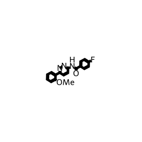 COc1ccccc1-c1ccc(NC(=O)c2ccc(F)cc2)nn1